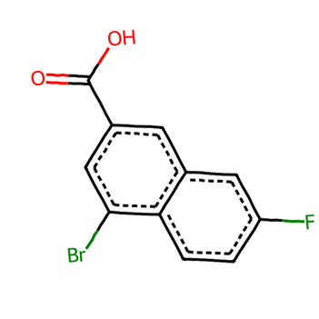 O=C(O)c1cc(Br)c2ccc(F)cc2c1